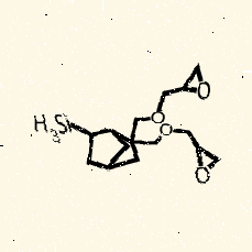 [SiH3]C1CC2CC1C(COCC1CO1)(COCC1CO1)C2